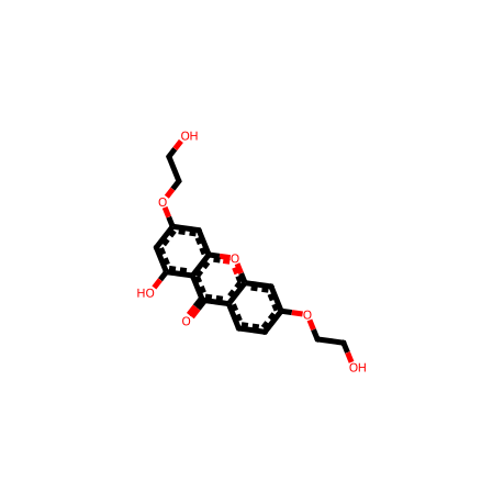 O=c1c2ccc(OCCO)cc2oc2cc(OCCO)cc(O)c12